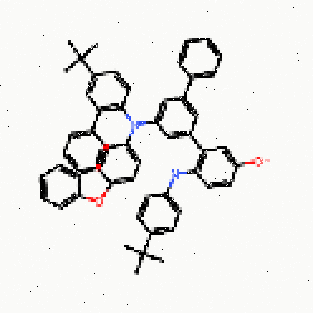 CC(C)(C)c1ccc(Nc2ccc(O)cc2-c2cc(-c3ccccc3)cc(N(c3ccc4oc5ccccc5c4c3)c3ccc(C(C)(C)C)cc3-c3ccccc3)c2)cc1